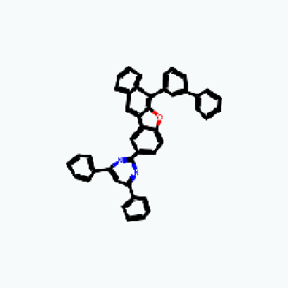 c1ccc(-c2cccc(-c3c4ccccc4cc4c3oc3ccc(-c5nc(-c6ccccc6)cc(-c6ccccc6)n5)cc34)c2)cc1